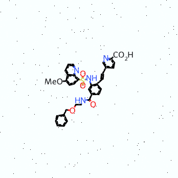 COc1ccc(S(=O)(=O)Nc2cc(C(=O)NCCOCc3ccccc3)ccc2C#Cc2ccc(C(=O)O)nc2)c2ncccc12